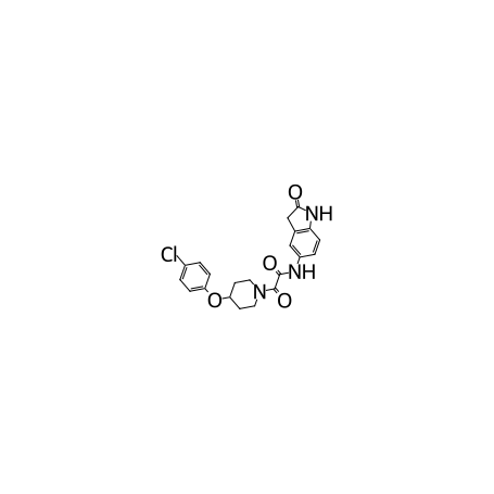 O=C1Cc2cc(NC(=O)C(=O)N3CCC(Oc4ccc(Cl)cc4)CC3)ccc2N1